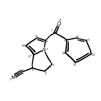 N#CC1CCn2c(C(=O)c3ccccc3)ccc21